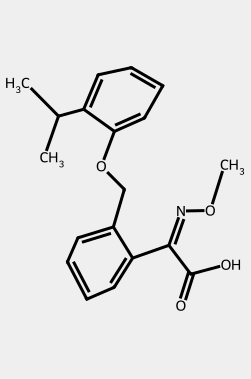 CON=C(C(=O)O)c1ccccc1COc1ccccc1C(C)C